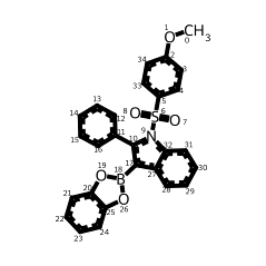 COc1ccc(S(=O)(=O)n2c(-c3ccccc3)c(B3Oc4ccccc4O3)c3ccccc32)cc1